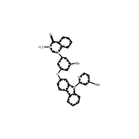 C[n+]1cn(-c2cc(Oc3ccc4c5ccccc5n(-c5cc(C(C)(C)C)ccn5)c4c3)cc(C(C)(C)C)c2)c2ccccc2c1=O